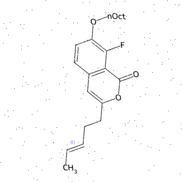 C/C=C/CCc1cc2ccc(OCCCCCCCC)c(F)c2c(=O)o1